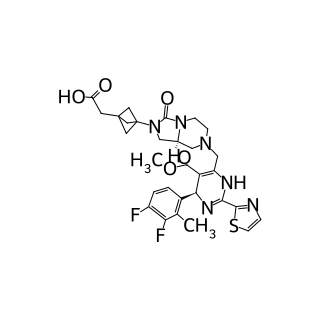 COC(=O)C1=C(CN2CCN3C(=O)N(C45CC(CC(=O)O)(C4)C5)C[C@@H]3C2)NC(c2nccs2)=N[C@H]1c1ccc(F)c(F)c1C